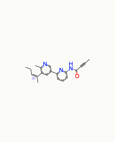 CC#CC(=O)Nc1cccc(-c2cnc(C)c(/C(C)=C\CC)c2)n1